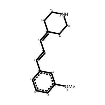 COc1cccc(C=CC=C2CCNCC2)c1